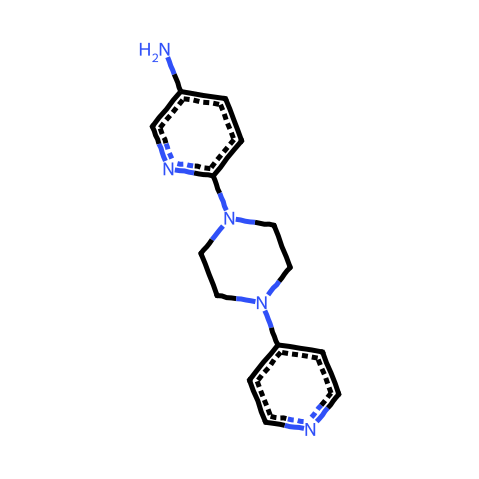 Nc1ccc(N2CCN(c3ccncc3)CC2)nc1